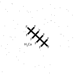 FC(F)(F)C(F)(F)C(F)(F)C(F)(F)F.[CaH2]